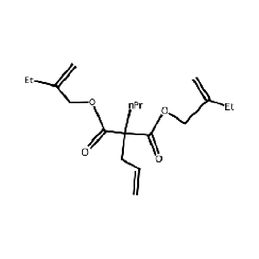 C=CCC(CCC)(C(=O)OCC(=C)CC)C(=O)OCC(=C)CC